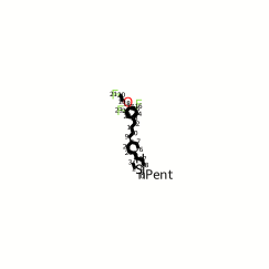 CCCCC[Si@H]1CC[C@H]([C@H]2CC[C@H](CCCCc3cc(F)c(OCCF)c(F)c3)CC2)CC1